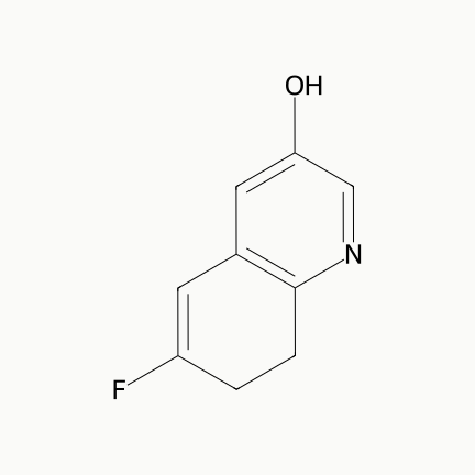 Oc1cnc2c(c1)C=C(F)CC2